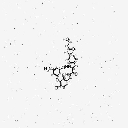 Nc1cc(Cl)cc(Oc2c(Cl)ccc(CNC(=O)c3cc4ccc(NC(=O)CCO)cc4[nH]3)c2F)c1